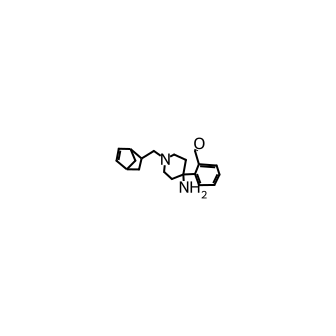 NC1(c2ccccc2C=O)CCN(CC2CC3C=CC2C3)CC1